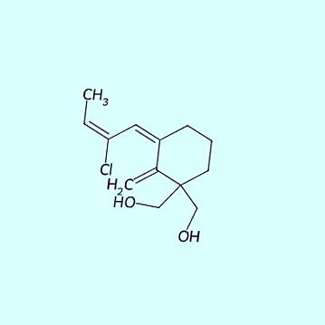 C=C1/C(=C\C(Cl)=C/C)CCCC1(CO)CO